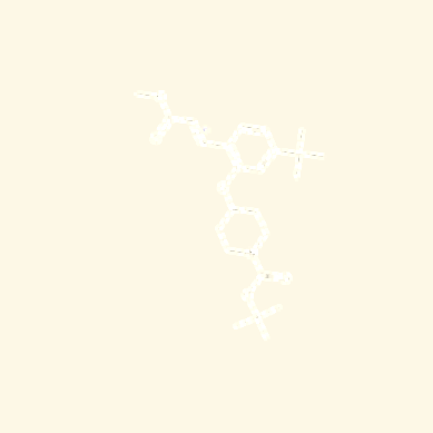 COC(=O)/C=C/c1ccc(C(C)(C)C)cc1OC1CCN(C(=O)OC(C)(C)C)CC1